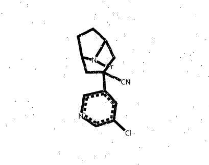 CC(C)N1C2CCC1CC(C#N)(c1cncc(Cl)c1)C2